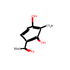 COC(=O)c1ccc(O)c(C(=O)O)c1O